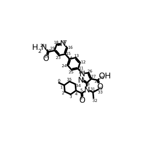 CC1CCC(C(=O)N(c2nn(-c3ccc(-c4cncc(C(N)=O)c4)cc3)cc2C(=O)O)C(C)C)CC1